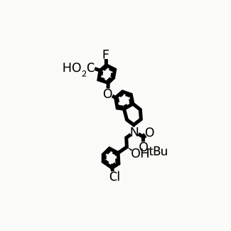 CC(C)(C)OC(=O)N(C[C@H](O)c1cccc(Cl)c1)[C@H]1CCc2ccc(Oc3ccc(F)c(C(=O)O)c3)cc2C1